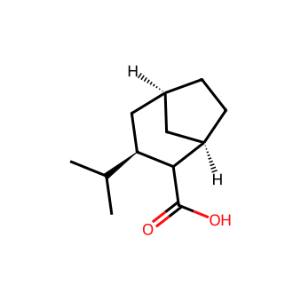 CC(C)[C@H]1C[C@H]2CC[C@H](C2)C1C(=O)O